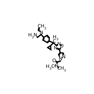 C=C/N=C(\CN)c1ccc(C(C)(c2noc(-c3cnn(CC(=O)N(C)C)c3)n2)C2CC2)cc1